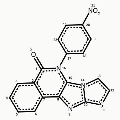 O=c1c2ccccc2c2nc3sccn3c2n1-c1ccc([N+](=O)[O-])cc1